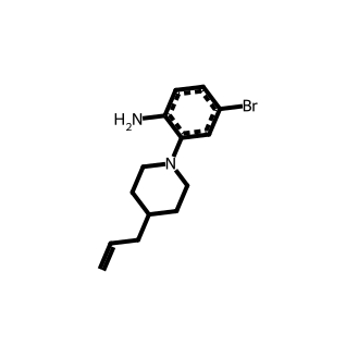 C=CCC1CCN(c2cc(Br)ccc2N)CC1